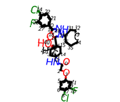 O=C(COc1ccc(Cl)c(F)c1)NC12CCC(C3OC(c4ccc(Cl)c(F)c4)NN3C3CCCCCC3)(CC1)[C@H](O)C2